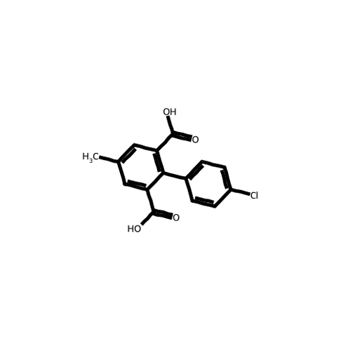 Cc1cc(C(=O)O)c(-c2ccc(Cl)cc2)c(C(=O)O)c1